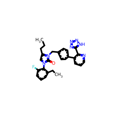 CCCc1cn(-c2c(F)cccc2CC)c(=O)n1Cc1ccc(-c2cccnc2-c2nnn[nH]2)cc1